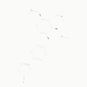 CC(=O)O[C@@H]1[C@@H](OC(C)=O)[C@@H](Oc2ccc(-c3sc(C)nc3C)nc2)SC[C@H]1OC(C)=O